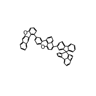 c1ccc2c(c1)-c1ccc(-c3ccc4c5c(cccc35)-c3cc(-c5cccc6oc7cc8ccccc8cc7c56)ccc3O4)cc1C21c2ccccc2-c2cccc3cccc1c23